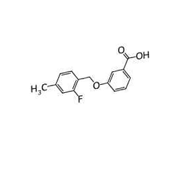 Cc1ccc(COc2cccc(C(=O)O)c2)c(F)c1